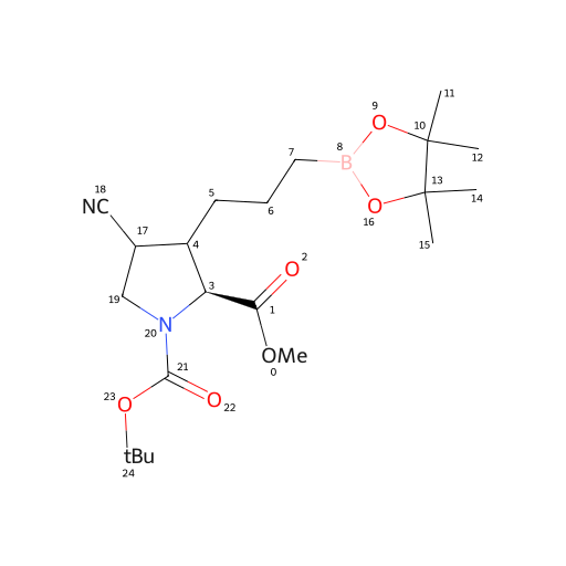 COC(=O)[C@@H]1C(CCCB2OC(C)(C)C(C)(C)O2)C(C#N)CN1C(=O)OC(C)(C)C